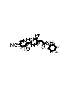 N#Cc1cnc(-c2ncc(CC(=O)Nc3ccccc3)c(=O)[nH]2)c(O)c1